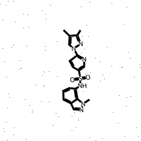 Cc1cn(-c2ccc(S(=O)(=O)Nc3cccc4cnn(C)c34)cn2)nc1C